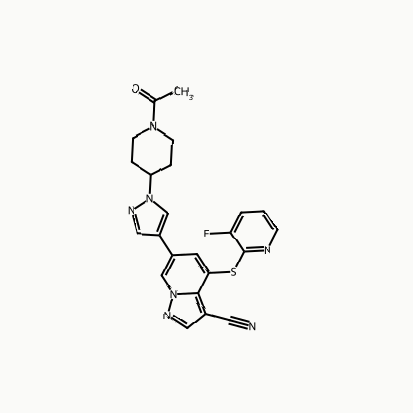 CC(=O)N1CCC(n2cc(-c3cc(Sc4ncccc4F)c4c(C#N)cnn4c3)cn2)CC1